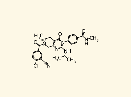 CNC(=O)c1ccc(-n2c(NC(C)C)nc3c(c2=O)C[C@@H](C)N(C(=O)c2ccc(Cl)c(C#N)c2)C3)cc1